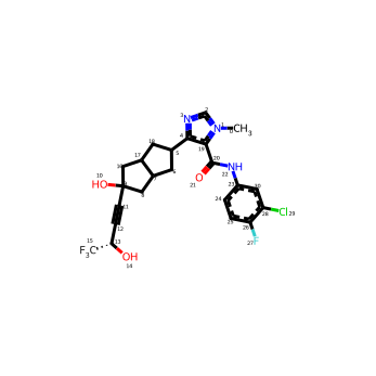 Cn1cnc(C2CC3CC(O)(C#C[C@H](O)C(F)(F)F)CC3C2)c1C(=O)Nc1ccc(F)c(Cl)c1